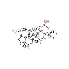 C=C(C)C1CCC2(C)CCC3(C)C(CCC4C5(C)CC(O)CC(C)(C)C5CCC43C)C12